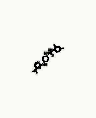 Cc1ccc(NC(=S)N[C@H]2CC[C@@H](Nc3nccc(N(C)C)n3)CC2)c(C)c1